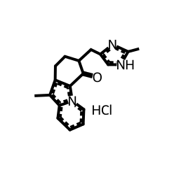 Cc1nc(CC2CCc3c(C)c4ccccn4c3C2=O)c[nH]1.Cl